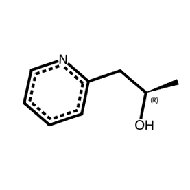 C[C@@H](O)Cc1ccccn1